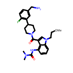 COCCn1cc(C(=O)N2CCC(c3cc(CN)ccc3F)CC2)c2c(NC(=O)N(C)C)cccc21